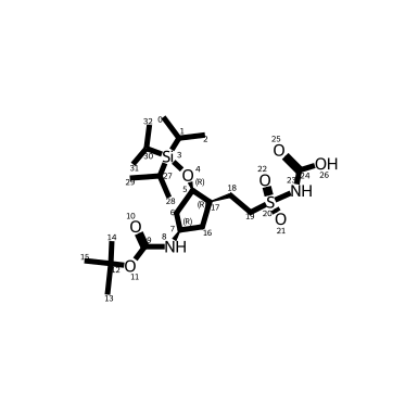 CC(C)[Si](O[C@@H]1C[C@H](NC(=O)OC(C)(C)C)C[C@@H]1CCS(=O)(=O)NC(=O)O)(C(C)C)C(C)C